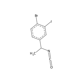 CC(N=C=O)c1ccc(Br)c(I)c1